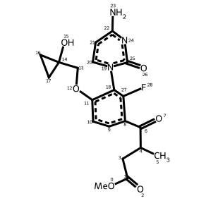 COC(=O)CC(C)C(=O)c1ccc(OCC2(O)CC2)c(-n2ccc(N)nc2=O)c1F